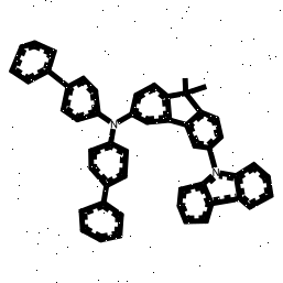 CC1(C)c2ccc(N(c3ccc(-c4ccccc4)cc3)c3ccc(-c4ccccc4)cc3)cc2-c2cc(-n3c4ccccc4c4ccccc43)ccc21